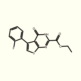 CCOC(=O)c1nc2scc(-c3ccccc3F)c2c(=O)[nH]1